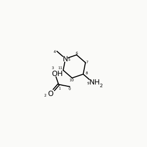 CC(=O)O.CN1CCC(N)CC1